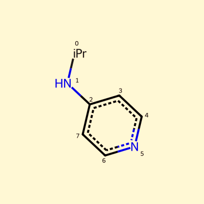 CC(C)Nc1ccncc1